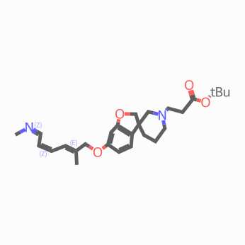 C\N=C/C=C\C=C(/C)COc1ccc2c(c1)OCC21CCCN(CCC(=O)OC(C)(C)C)C1